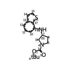 CC(C)(C)OC(=O)N1CC[C@H](Nc2cccc3ccsc23)C1